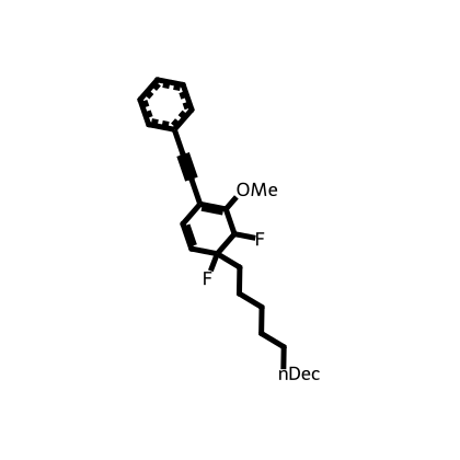 CCCCCCCCCCCCCCCC1(F)C=CC(C#Cc2ccccc2)=C(OC)C1F